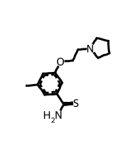 Cc1cc(OCCN2CCCC2)cc(C(N)=S)c1